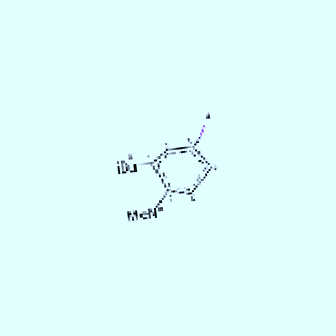 CCC(C)c1cc(I)ccc1NC